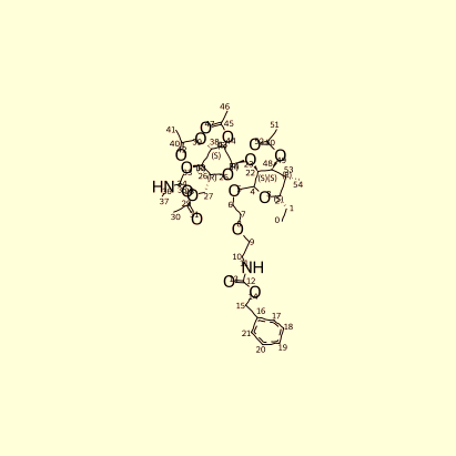 CC[C@@H]1OC(OCCOCCNC(=O)OCc2ccccc2)[C@@H](O[C@H]2O[C@H](COC(C)=O)[C@@H](OC(=O)NC)[C@H](OC(C)=O)[C@@H]2OC(C)=O)[C@@H](OC(C)=O)[C@@H]1C